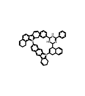 C1=CC2CC(n3c4c(c5cc6ccc(-n7c8c(c9ccc%10c(c97)CCC=C%10)C=CCC8)cc6cc53)C=CCC4)=CC(C3N=C(c4ccccc4)NC(c4ccccc4)N3)C2C=C1